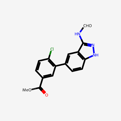 COC(=O)c1ccc(Cl)c(-c2ccc3[nH]nc(NC=O)c3c2)c1